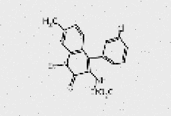 CCOC(=O)Nc1c(-c2cccc(Cl)c2)c2ccc(C)nc2n(CC)c1=O